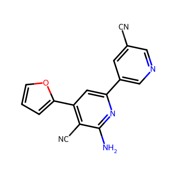 N#Cc1cncc(-c2cc(-c3ccco3)c(C#N)c(N)n2)c1